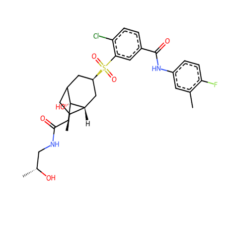 Cc1cc(NC(=O)c2ccc(Cl)c(S(=O)(=O)[C@@H]3CC4C[C@H](C)[C@@H](C3)[C@@]4(O)CC(=O)NC[C@@H](C)O)c2)ccc1F